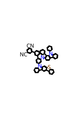 N#Cc1cc(C#N)cc(-c2cccc(-c3ccc(-n4c5ccccc5c5cc6c(cc54)sc4ccccc46)cc3-n3c4ccccc4c4c3ccc3c5ccccc5n(-c5ccccc5)c34)c2)c1